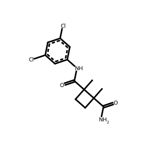 CC1(C(N)=O)CCC1(C)C(=O)Nc1cc(Cl)cc(Cl)c1